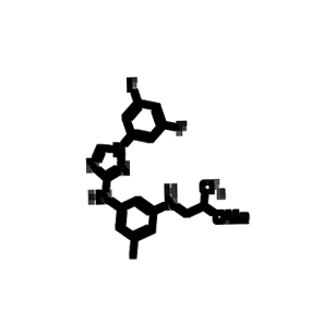 COC(CNc1cc(C)cc(Nc2ncn(-c3cc(F)cc(F)c3)n2)c1)C(F)(F)F